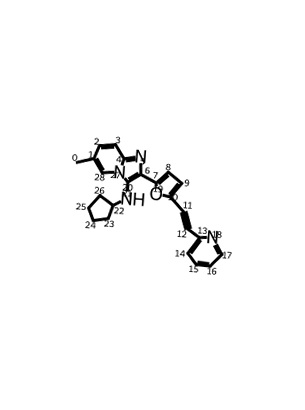 Cc1ccc2nc(-c3ccc(C#Cc4ccccn4)o3)c(NC3CCCC3)n2c1